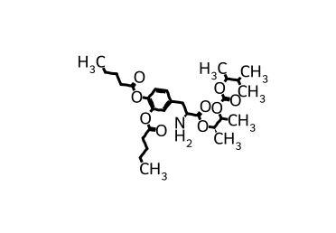 CCCCC(=O)Oc1ccc(C[C@H](N)C(=O)O[C@@H](C)C(C)OC(=O)OC(C)C(C)C)cc1OC(=O)CCCC